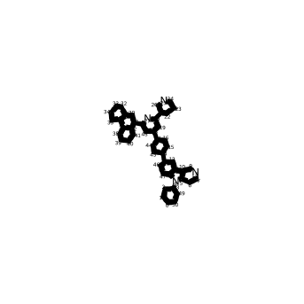 c1ccc(-n2c3ccncc3c3cc(-c4ccc(-c5cc(-c6cccnc6)nc(-c6cc7ccccc7c7ccccc67)c5)cc4)ccc32)cc1